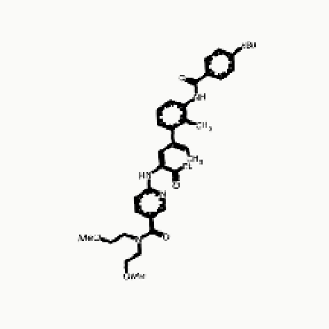 C/C=C(\C=C(\Nc1ccc(C(=O)N(CCOC)CCOC)cn1)C(=O)CC)c1cccc(NC(=O)c2ccc(C(C)(C)C)cc2)c1C